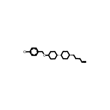 C=CCCC[C@H]1CC[C@H](C2CCC(OCc3ccc(Cl)cc3)CC2)CC1